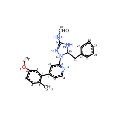 Cc1ccc(OC(C)C)cc1-c1ccnc(N2N=C(NC=O)NC2Cc2ccccc2)c1